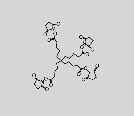 O=C(CCCCC(CCCCC(=O)ON1C(=O)CCC1=O)(CCCCC(=O)ON1C(=O)CCC1=O)CCCCC(=O)ON1C(=O)CCC1=O)OC1C(=O)CCC1=O